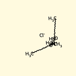 CCCCCCCCCCCCCCCCCCOC(=O)C[N+](C)(C)CCCNC(=O)CCCCCCCCCCCCCCCCC.[Cl-]